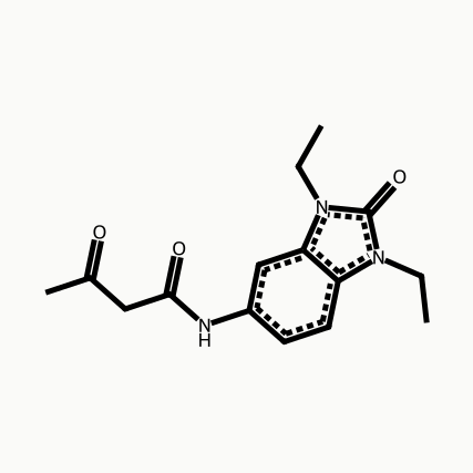 CCn1c(=O)n(CC)c2cc(NC(=O)CC(C)=O)ccc21